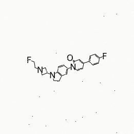 O=c1cc(-c2ccc(F)cc2)ccn1-c1ccc2c(c1)CCN2C1CN(CCF)C1